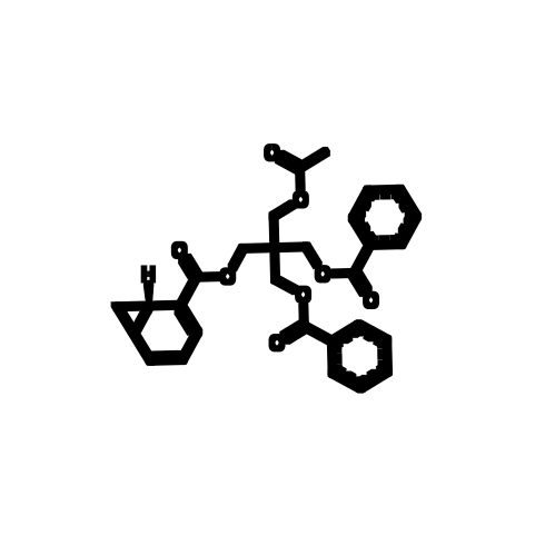 CC(=O)OCC(COC(=O)C1=CC=CC2C[C@H]12)(COC(=O)c1ccccc1)COC(=O)c1ccccc1